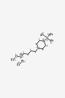 CCO[SiH](CCCCN1CCN([Si](C(C)C)(C(C)C)C(C)C)CC1)OCC